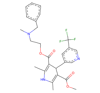 COC(=O)C1=C(C)NC(C)=C(C(=O)OCCN(C)Cc2ccccc2)C1c1cncc(C(F)(F)F)c1